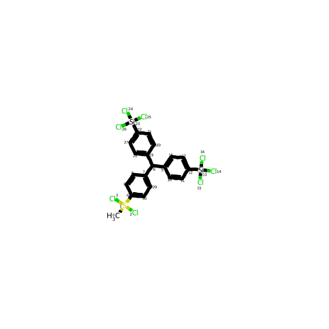 CS(Cl)(Cl)c1ccc(C(c2ccc([Si](Cl)(Cl)Cl)cc2)c2ccc([Si](Cl)(Cl)Cl)cc2)cc1